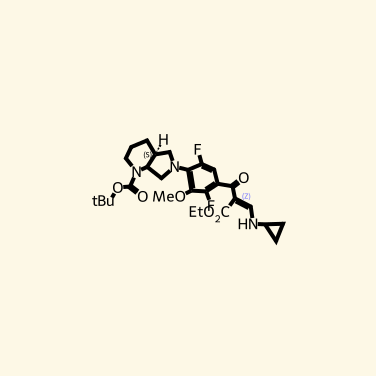 CCOC(=O)/C(=C\NC1CC1)C(=O)c1cc(F)c(N2CC3[C@@H](CCCN3C(=O)OC(C)(C)C)C2)c(OC)c1F